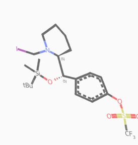 CC(C)(C)[Si](C)(C)O[C@@H](c1ccc(OS(=O)(=O)C(F)(F)F)cc1)[C@@H]1CCCCN1CI